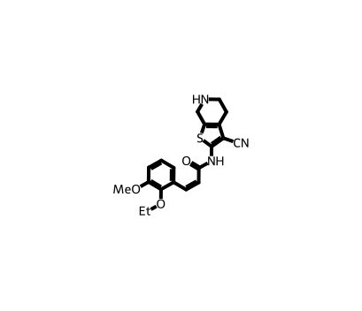 CCOc1c(/C=C\C(=O)Nc2sc3c(c2C#N)CCNC3)cccc1OC